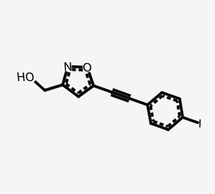 OCc1cc(C#Cc2ccc(I)cc2)on1